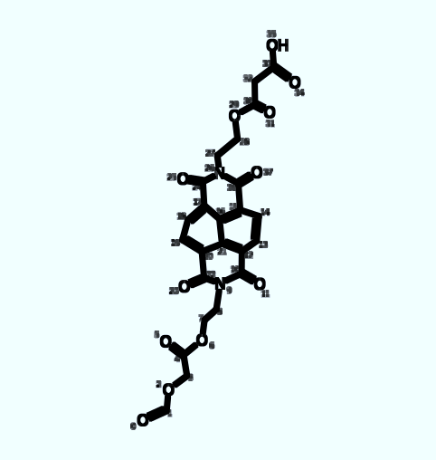 O=COCC(=O)OCCN1C(=O)c2ccc3c4c(ccc(c24)C1=O)C(=O)N(CCOC(=O)CC(=O)O)C3=O